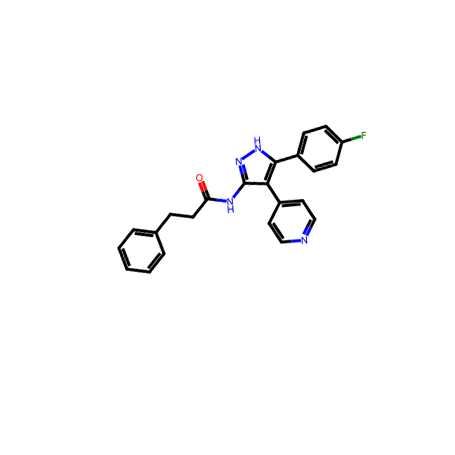 O=C(CCc1ccccc1)Nc1n[nH]c(-c2ccc(F)cc2)c1-c1ccncc1